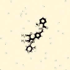 COc1ccccc1C(=O)NCc1ccc(-c2nn([C@@H]3CCOC[C@@H]3F)c(N)c2C(N)=O)cc1